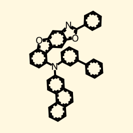 c1ccc(-c2cccc(N(c3ccc4c(ccc5ccccc54)c3)c3cccc4oc5cc6nc(-c7ccccc7)oc6cc5c34)c2)cc1